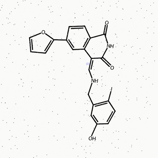 O=C1NC(=O)c2ccc(-c3ccco3)cc2/C1=C/NCc1cc(O)ccc1I